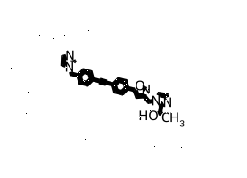 CC(O)c1nccn1Cc1cc(-c2ccc(C#Cc3ccc(Cn4ccnc4)cc3)cc2)on1